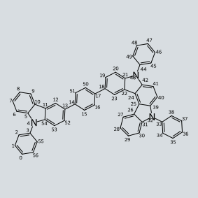 c1ccc(-n2c3ccccc3c3cc(-c4ccc(-c5ccc6c(c5)c5c7c8ccccc8n(-c8ccccc8)c7ccc5n6-c5ccccc5)cc4)ccc32)cc1